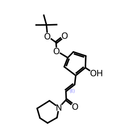 CC(C)(C)OC(=O)Oc1ccc(O)c(/C=C/C(=O)N2CCCCC2)c1